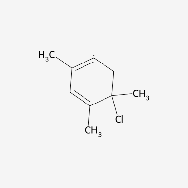 CC1=[C]CC(C)(Cl)C(C)=C1